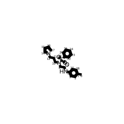 Cc1ccc(NC(=O)CN(CCCn2cccc2)S(=O)(=O)c2ccccc2)cc1